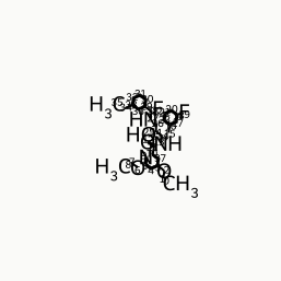 CCOc1cc(OCC)nc(C(=O)N[C@@H](Cc2cc(F)cc(F)c2)[C@H](O)CNCc2cccc(CC)c2)c1